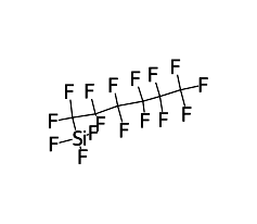 FC(F)(F)C(F)(F)C(F)(F)C(F)(F)C(F)(F)C(F)(F)[Si](F)(F)F